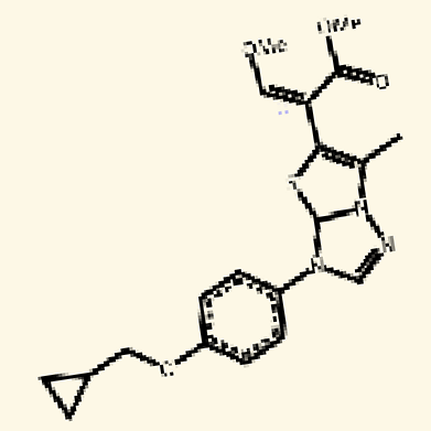 CO/C=C(\C(=O)OC)C1=C(C)N2N=CN(c3ccc(OCC4CC4)cc3)C2S1